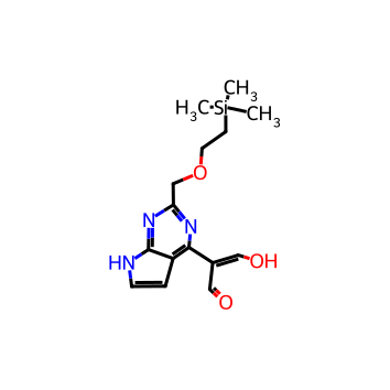 C[Si](C)(C)CCOCc1nc(C(C=O)=CO)c2cc[nH]c2n1